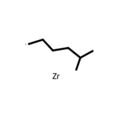 [CH2]CCCC(C)C.[Zr]